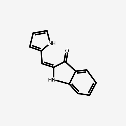 O=C1C(=Cc2ccc[nH]2)Nc2ccccc21